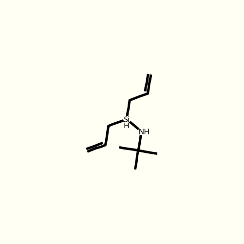 C=CC[SiH](CC=C)NC(C)(C)C